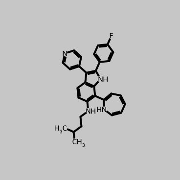 CC(C)CCNc1ccc2c(-c3ccncc3)c(-c3ccc(F)cc3)[nH]c2c1C1=CC=CC=CN1